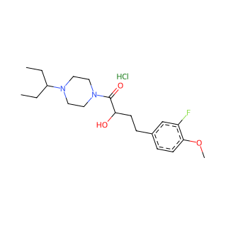 CCC(CC)N1CCN(C(=O)C(O)CCc2ccc(OC)c(F)c2)CC1.Cl